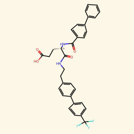 O=C(O)CC[C@H](NC(=O)c1ccc(-c2ccccc2)cc1)C(=O)NCCc1ccc(-c2ccc(C(F)(F)F)cc2)cc1